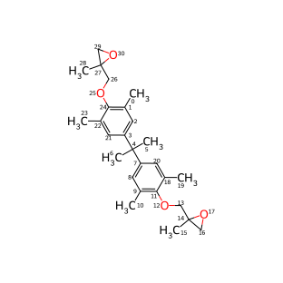 Cc1cc(C(C)(C)c2cc(C)c(OCC3(C)CO3)c(C)c2)cc(C)c1OCC1(C)CO1